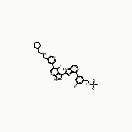 CS(=O)(=O)NCc1cc(F)cc(-c2nccc3[nH]c(-c4n[nH]c5ncc(-c6cncc(CNCC7CCCC7)c6)c(F)c45)nc23)c1